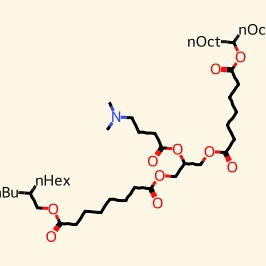 CCCCCCCCC(CCCCCCCC)OC(=O)CCCCCC(=O)OCC(COC(=O)CCCCCCC(=O)OCC(CCCC)CCCCCC)OC(=O)CCCN(C)C